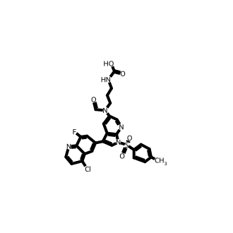 Cc1ccc(S(=O)(=O)n2cc(-c3cc(F)c4nccc(Cl)c4c3)c3cc(N(C=O)CCCNC(=O)O)cnc32)cc1